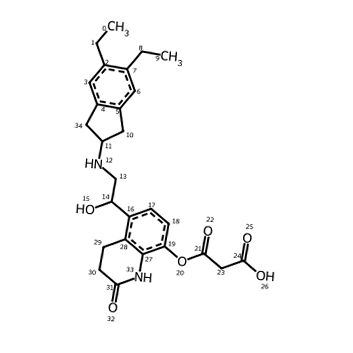 CCc1cc2c(cc1CC)CC(NCC(O)c1ccc(OC(=O)CC(=O)O)c3c1CCC(=O)N3)C2